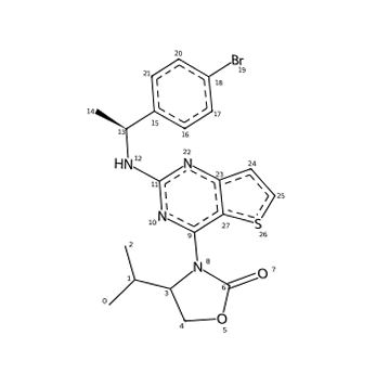 CC(C)C1COC(=O)N1c1nc(N[C@@H](C)c2ccc(Br)cc2)nc2ccsc12